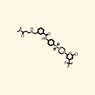 CN(C)C(=O)CCNCc1cccc(C(=O)Nc2ccc(S(=O)(=O)N3CCN(c4cc(C(F)(F)F)cc(Cl)n4)CC3)cc2)c1